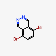 Brc1ccc(Br)c2cnncc12